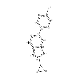 Fc1ccc(-c2cnc3nc(C4CC4)nn3c2)cc1